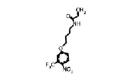 C=CC(=O)NCCCCOc1ccc([N+](=O)[O-])c(C(F)(F)F)c1